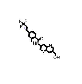 Cc1cc(/C=C/C(F)(F)F)ccc1C(=O)Nc1cnc2cc(CO)cnc2c1